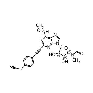 CONc1nc(C#Cc2ccc(CC#N)cc2)nc2c1ncn2[C@@H]1O[C@H](N(C)C=O)[C@@H](O)[C@H]1O